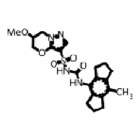 COC1COc2c(S(=O)(=O)NC(=O)Nc3c4c(c(C)c5c3CCC5)CCC4)cnn2C1